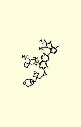 CN(C)C1(CNc2nc(C3CC3CC3(CN4C5CCC4COC5)COC3)nc3cc(-c4ccc(F)c5sc(N)c(C#N)c45)ncc23)CCC1